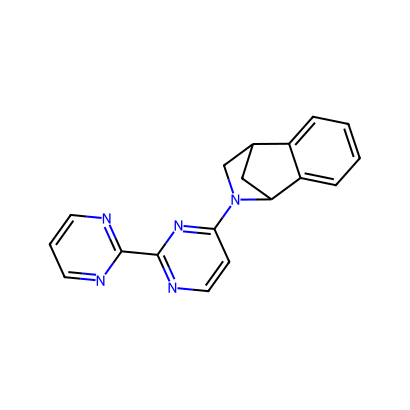 c1cnc(-c2nccc(N3CC4CC3c3ccccc34)n2)nc1